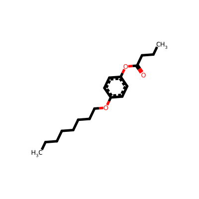 CCCCCCCCOc1ccc(OC(=O)CCC)cc1